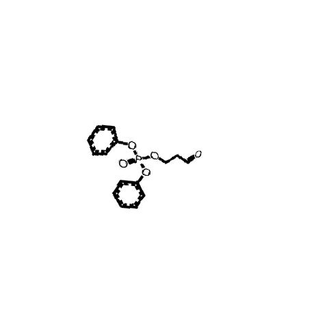 O=CCCOP(=O)(Oc1ccccc1)Oc1ccccc1